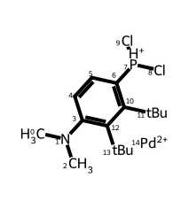 CN(C)c1ccc([PH+](Cl)Cl)c(C(C)(C)C)c1C(C)(C)C.[Pd+2]